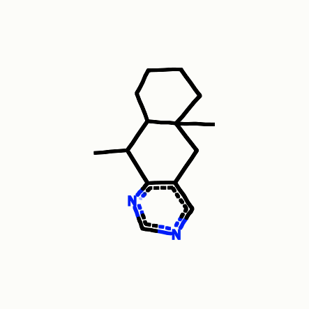 CC1c2ncncc2CC2(C)CCCCC12